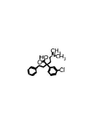 CN(C)CCC(CCc1ccccc1)(C(=O)O)c1cccc(Cl)c1